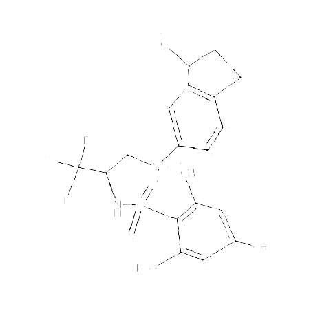 Cc1cc(C)c(S(=O)(=O)NC(CNc2ccc3c(c2)C(O)CC3)C(F)(F)F)c(C)c1